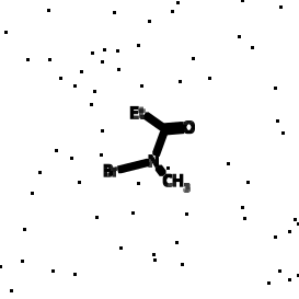 CCC(=O)N(C)Br